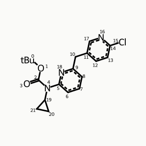 CC(C)(C)OC(=O)N(c1cccc(Cc2ccc(Cl)nc2)n1)C1CC1